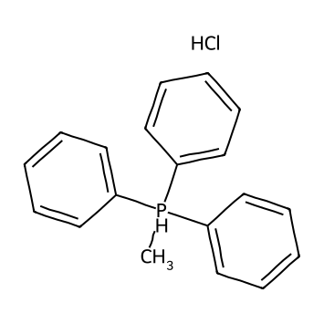 C[PH](c1ccccc1)(c1ccccc1)c1ccccc1.Cl